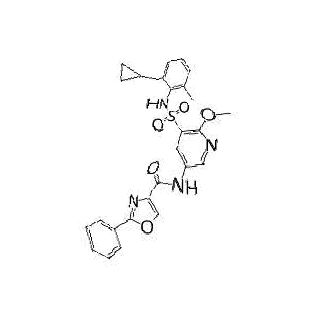 COc1ncc(NC(=O)c2coc(-c3ccccc3)n2)cc1S(=O)(=O)Nc1c(C)cccc1C1CC1